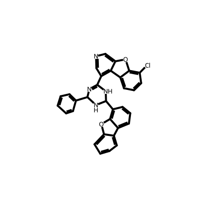 Clc1cccc2c1oc1cncc(C3=NC(c4ccccc4)NC(c4cccc5c4oc4ccccc45)N3)c12